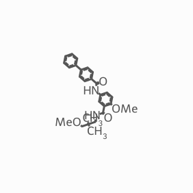 COCC(C)(C)CNC(=O)c1cc(NC(=O)c2ccc(-c3ccccc3)cc2)ccc1OC